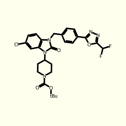 CC(C)(C)OC(=O)N1CCC(n2c(=O)n(Cc3ccc(-c4nnc(C(F)F)o4)cc3)c3ccc(Cl)cc32)CC1